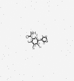 Cc1c(C(N)=O)nc(-c2ccsc2)c(C)c1C